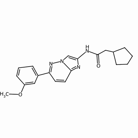 COc1cccc(-c2ccc3nc(NC(=O)CC4CCCC4)cn3n2)c1